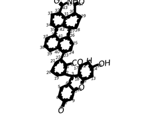 O=C(O)c1c(-c2c3ccc(=O)cc-3oc3cc(O)ccc23)cccc1-c1ccc2c3ccc4c5c(ccc(c6cccc1c62)c53)C(=O)NC4=O